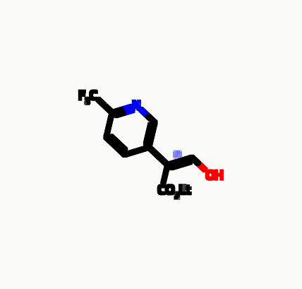 CCOC(=O)/C(=C\O)c1ccc(C(F)(F)F)nc1